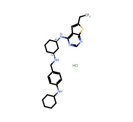 Cl.FC(F)(F)Cc1cc2c(N[C@@H]3CCC[C@H](NCc4ccc(NC5CCCCC5)cc4)C3)ncnc2s1